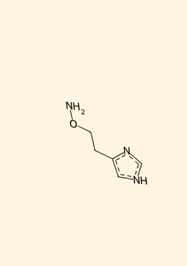 NOCCc1c[nH]cn1